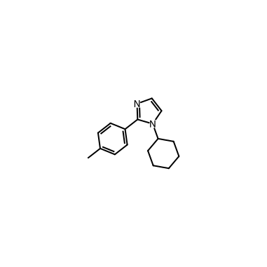 Cc1ccc(-c2nccn2C2CCCCC2)cc1